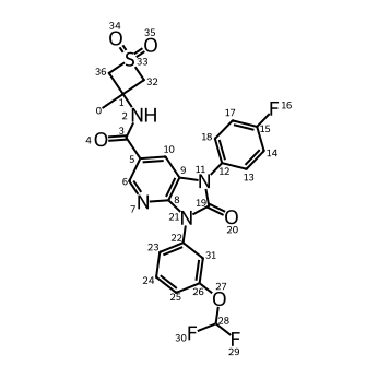 CC1(NC(=O)c2cnc3c(c2)n(-c2ccc(F)cc2)c(=O)n3-c2cccc(OC(F)F)c2)CS(=O)(=O)C1